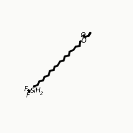 C=CC(=O)OCCCCCCCCCCCCCCCCCCC[SiH2]C(F)F